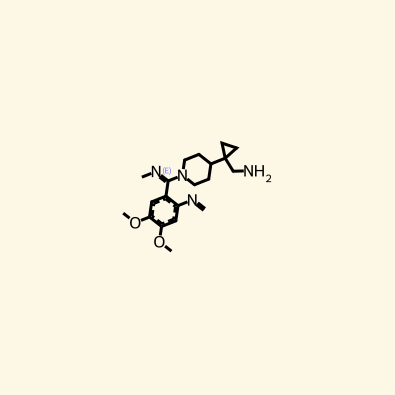 C=Nc1cc(OC)c(OC)cc1/C(=N\C)N1CCC(C2(CN)CC2)CC1